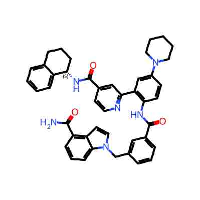 NC(=O)c1cccc2c1ccn2Cc1cccc(C(=O)Nc2ccc(N3CCCCC3)cc2-c2cc(C(=O)N[C@H]3CCCc4ccccc43)ccn2)c1